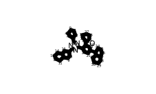 c1ccc(-c2nc(-c3ccc4ccccc4c3)nc(-c3ccc(-c4cccc5ccccc45)c4oc5ccccc5c34)n2)cc1